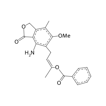 COc1c(C)c2c(c(N)c1CC=C(C)OC(=O)c1ccccc1)C(=O)OC2